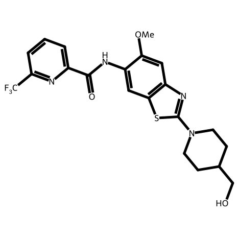 COc1cc2nc(N3CCC(CO)CC3)sc2cc1NC(=O)c1cccc(C(F)(F)F)n1